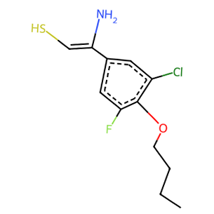 CCCCOc1c(F)cc(/C(N)=C/S)cc1Cl